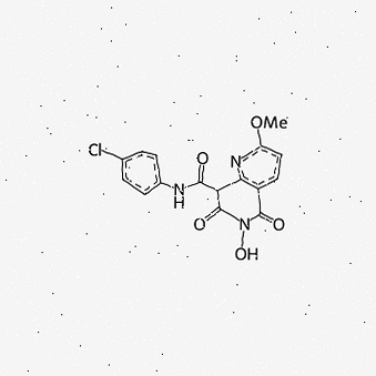 COc1ccc2c(n1)C(C(=O)Nc1ccc(Cl)cc1)C(=O)N(O)C2=O